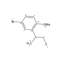 [CH2]C(CF)c1cc(Br)ccc1OC